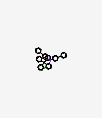 Brc1ccccc1C1(c2ccccc2N(c2ccc(-c3ccccc3)cc2)c2ccc(-c3ccccc3)cc2)c2ccccc2-c2ccccc21